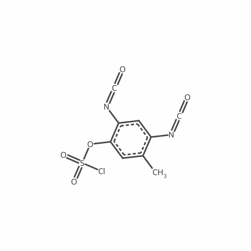 Cc1cc(OS(=O)(=O)Cl)c(N=C=O)cc1N=C=O